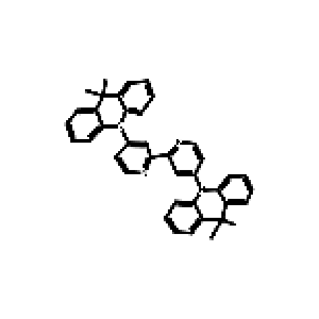 CC1(C)c2ccccc2N(c2ccnc(-c3cc(N4c5ccccc5C(C)(C)c5ccccc54)ccn3)c2)c2ccccc21